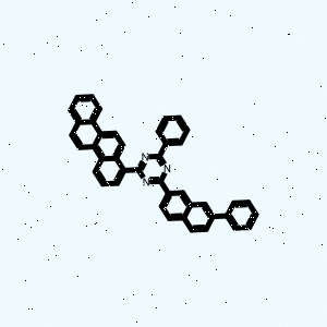 c1ccc(-c2ccc3ccc(-c4nc(-c5ccccc5)nc(-c5cccc6c5ccc5c7ccccc7ccc65)n4)cc3c2)cc1